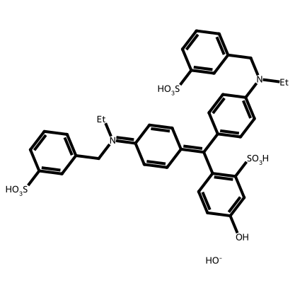 CCN(Cc1cccc(S(=O)(=O)O)c1)c1ccc(C(=C2C=CC(=[N+](CC)Cc3cccc(S(=O)(=O)O)c3)C=C2)c2ccc(O)cc2S(=O)(=O)O)cc1.[OH-]